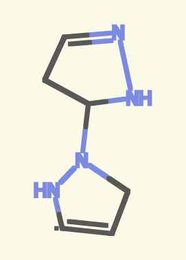 [C]1=CCN(C2CC=NN2)N1